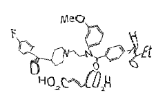 CCC(=O)Nc1ccc(C(=O)N(CCN2CCC(C(=O)c3ccc(F)cc3)CC2)c2cccc(OC)c2)cc1.O=C(O)/C=C/C(=O)O